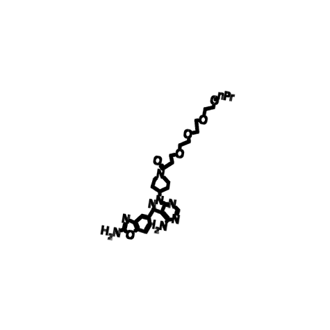 CCCOCCOCCOCCOCCC(=O)N1CCC(n2nc(-c3ccc4oc(N)nc4c3)c3c(N)ncnc32)CC1